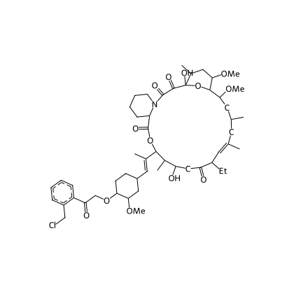 CCC1/C=C(\C)CC(C)CC(OC)C2OC(O)(C(=O)C(=O)N3CCCCC3C(=O)OC(C(C)=CC3CCC(OCC(=O)c4ccccc4CCl)C(OC)C3)C(C)C(O)CC1=O)C(C)CC2OC